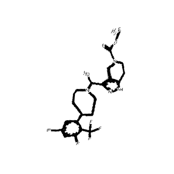 COC(=O)N1CCc2[nH]nc(C(O)N3CCC(c4cc(F)cc(F)c4C(F)(F)F)CC3)c2C1